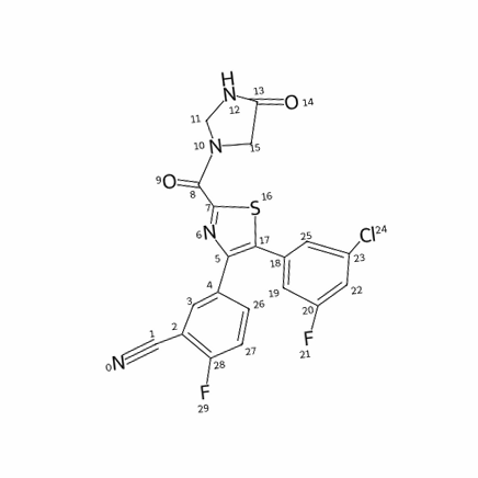 N#Cc1cc(-c2nc(C(=O)N3CNC(=O)C3)sc2-c2cc(F)cc(Cl)c2)ccc1F